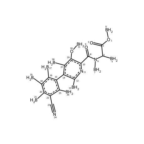 BOC(=O)C(B)N(B)C(=O)c1nc(B)c(-c2c(B)c(B)c(B)c(C#N)c2B)c(B)c1OB